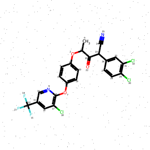 CC(Oc1ccc(Oc2ncc(C(F)(F)F)cc2Cl)cc1)C(=O)C(C#N)c1ccc(Cl)c(Cl)c1